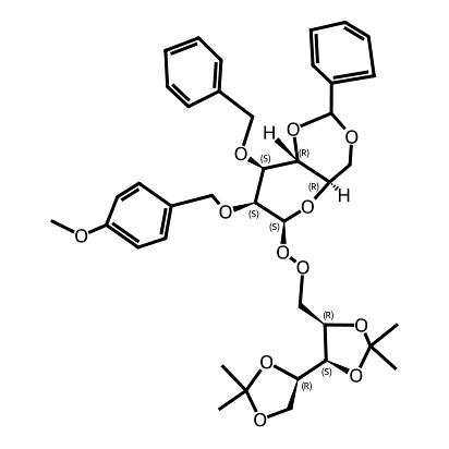 COc1ccc(CO[C@@H]2[C@H](OOC[C@H]3OC(C)(C)O[C@H]3[C@H]3COC(C)(C)O3)O[C@@H]3COC(c4ccccc4)O[C@H]3[C@@H]2OCc2ccccc2)cc1